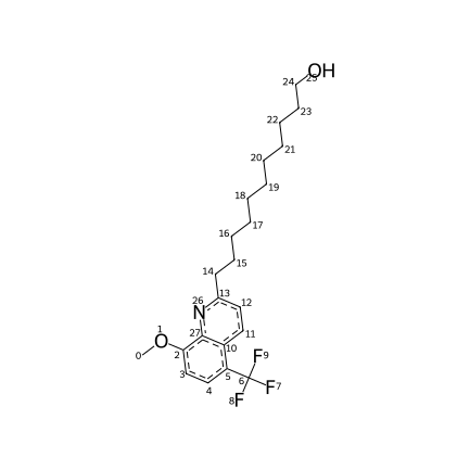 COc1ccc(C(F)(F)F)c2ccc(CCCCCCCCCCCO)nc12